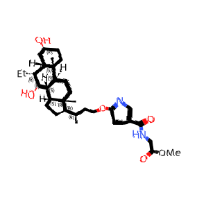 CC[C@H]1[C@@H](O)[C@@H]2[C@H](CC[C@]3(C)[C@@H]([C@H](C)CCOc4ccc(C(=O)NCC(=O)OC)cn4)CC[C@@H]23)[C@@]2(C)CC[C@@H](O)C[C@@H]12